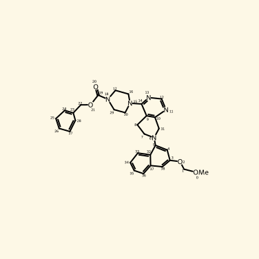 COCOc1cc(N2CCc3c(ncnc3N3CCN(C(=O)OCc4ccccc4)CC3)C2)c2ccccc2c1